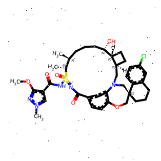 COc1nn(C)cc1C(=O)NS1(=O)=NC(=O)c2ccc3c(c2)N(C[C@@H]2CC[C@H]2[C@@H](O)CCC[C@H](C)[C@H]1C)C[C@@]1(CCCc2cc(Cl)ccc21)CO3